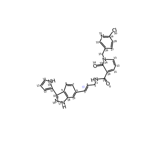 O=C(NC/C=C/c1ccc2c(-c3ccc[nH]3)n[nH]c2c1)c1cccn(Cc2ccc(Cl)nc2)c1=O